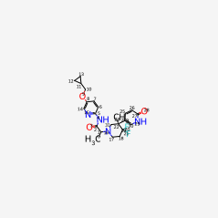 CC(C(=O)Nc1ccc(OCC2CC2)cn1)N1CCC(F)(F)[C@@](C)(c2ccc(=O)[nH]c2)C1